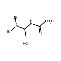 CCN(CC)C(C)NC(=O)C(=O)O.Cl